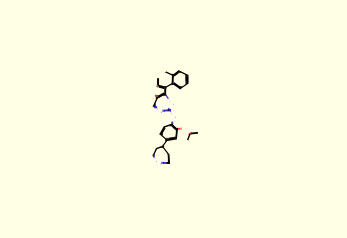 Cc1ccccc1-c1c(C)sc2cnc(Nc3ccc(C4CCNCC4)cc3OC(C)C)nc12